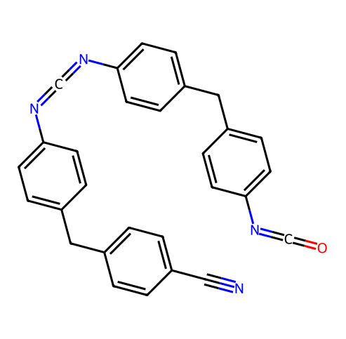 N#Cc1ccc(Cc2ccc(N=C=Nc3ccc(Cc4ccc(N=C=O)cc4)cc3)cc2)cc1